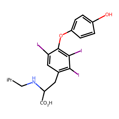 CC(C)CNC(Cc1cc(I)c(Oc2ccc(O)cc2)c(I)c1I)C(=O)O